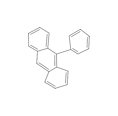 c1ccc(-c2c3ccccc3cc3ccccc23)cc1